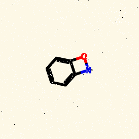 c1ccc2c(c1)[N]O2